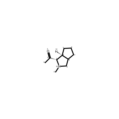 CC(=O)[C@@H]1[C@H]2CCCC2CN1C